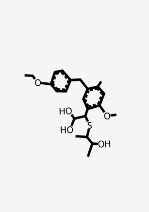 CCOc1ccc(Cc2cc(C(SC(C)C(C)O)C(O)O)c(OC)cc2C)cc1